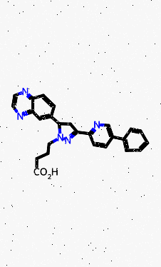 O=C(O)CCCN1N=C(c2ccc(-c3ccccc3)cn2)CC1c1ccc2nccnc2c1